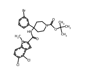 Cn1c(C(=O)NC2(c3cccc(Br)c3)CCN(C(=O)OC(C)(C)C)CC2)cc2c(Cl)c(Cl)ccc21